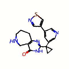 O=c1[nH]c(C2(c3cncc(-c4cnsc4)c3)CC2)nc2c1CNCCC2